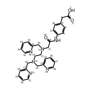 O=C(O)Cc1ccc(NC(=O)CN(CCN(Cc2ccccn2)Cc2ccccn2)Cc2ccccn2)cc1